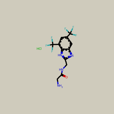 Cl.NCC(=O)NCc1nc2cc(C(F)(F)F)cc(C(F)(F)F)c2[nH]1